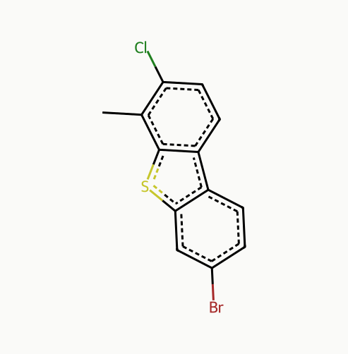 Cc1c(Cl)ccc2c1sc1cc(Br)ccc12